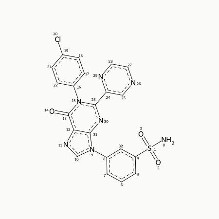 NS(=O)(=O)c1cccc(-n2cnc3c(=O)n(-c4ccc(Cl)cc4)c(-c4cnccn4)nc32)c1